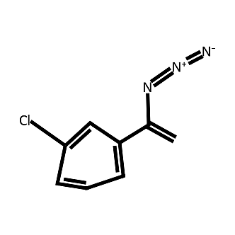 C=C(N=[N+]=[N-])c1cccc(Cl)c1